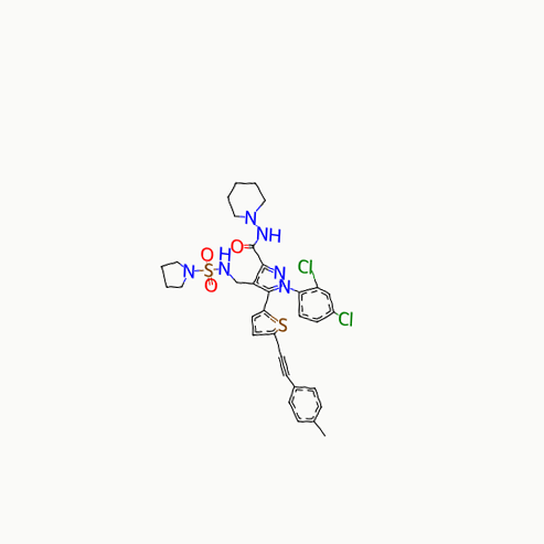 Cc1ccc(C#Cc2ccc(-c3c(CNS(=O)(=O)N4CCCC4)c(C(=O)NN4CCCCC4)nn3-c3ccc(Cl)cc3Cl)s2)cc1